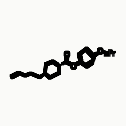 C=CCCC[C@H]1CC[C@H](C(=O)Oc2ccc(OCCC)cc2)CC1